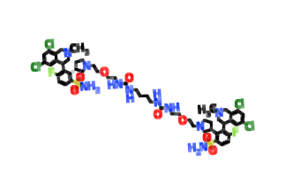 CN1Cc2c(Cl)cc(Cl)cc2C(c2c(F)ccc(S(N)(=O)=O)c2[C@@H]2CCN(CCOCCNC(=O)NCCCCNC(=O)NCCOCCN3CC[C@@H](c4c(S(N)(=O)=O)ccc(F)c4C4CN(C)Cc5c(Cl)cc(Cl)cc54)C3)C2)C1